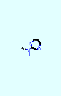 CC(C)NC1=CN=C=CC=N1